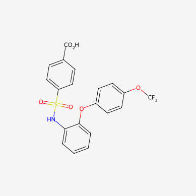 O=C(O)c1ccc(S(=O)(=O)Nc2ccccc2Oc2ccc(OC(F)(F)F)cc2)cc1